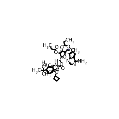 CCC(=O)O[C@H]1[C@@H](OC(=O)CC)[C@](/C=N\C)(c2ccc3c(N)ncnn23)O[C@@H]1COP(=O)(N[C@@H](C)C(=O)OC1CCC1)Oc1ccc(C(C)(C)C)cc1